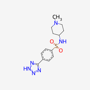 CN1CCC(NS(=O)(=O)c2ccc(-c3nn[nH]n3)cc2)CC1